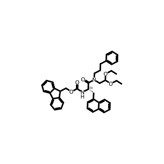 CCOC(CN(CCCc1ccccc1)C(=O)[C@H](Cc1cccc2ccccc12)NC(=O)OCC1c2ccccc2-c2ccccc21)OCC